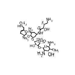 CNCC1=CC[C@@H](N)[C@@H](O[C@H]2[C@H](O[C@@H]3O[C@H](CO)[C@@H](O[C@H]4O[C@@H](CN)[C@@H](O)[C@H](O)[C@H]4N)[C@H]3O)[C@@H](O)[C@H](NC(=O)[C@@H](O)[C@H](F)CN)C[C@@H]2N)O1